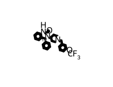 O=C1Nc2ccccc2[C@H](c2ccccc2)N1C1CCN(Cc2cccc(OC(F)(F)F)c2)CC1